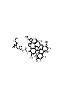 CCCN(C)COCCCc1ccc(C2(c3ccc(C)c(C(=O)OCC)c3)c3cc(C)ccc3-c3ccc(C)cc32)cc1C